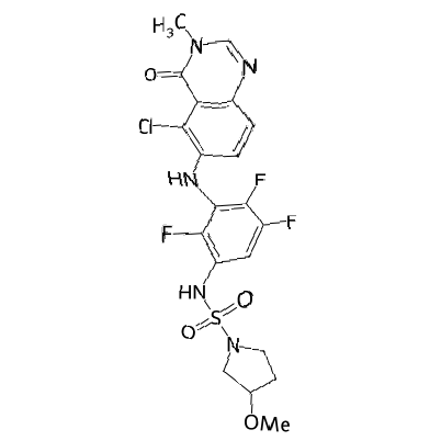 COC1CCN(S(=O)(=O)Nc2cc(F)c(F)c(Nc3ccc4ncn(C)c(=O)c4c3Cl)c2F)C1